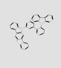 N#Cc1cc(-c2ccccc2-n2c3ccccc3c3ccccc32)cc(-n2c3ccccc3c3cc4oc5ccccc5c4cc32)c1